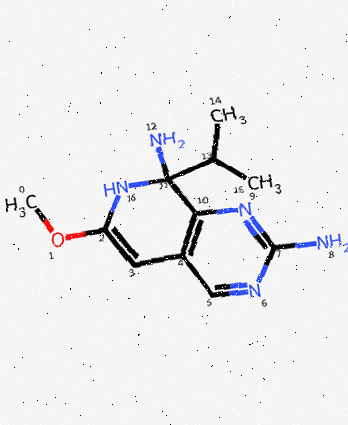 COC1=Cc2cnc(N)nc2C(N)(C(C)C)N1